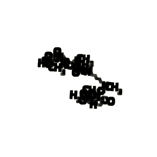 CC[C@@]1(O)C(=O)OCc2c1cc1n(c2=O)Cc2cc3c(CN(C)C)c(OC(=O)N4CCN(CCCCCCCN(C)c5ccc([C@H]6C[C@@]7(C)[C@@H](CC[C@]7(OC(C)=O)C(C)=O)C7CCC8=CC(=O)CCC8=C76)cc5)CC4)ccc3nc2-1